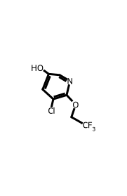 Oc1cnc(OCC(F)(F)F)c(Cl)c1